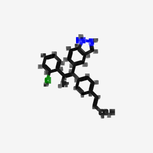 CC(C)C(=C(c1ccc(C=CC(=O)O)cc1)c1ccc2[nH]ncc2c1)c1ccccc1Cl